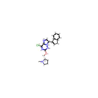 CN1CCC[C@H]1COc1nc(Cl)c2ncc(C3=CCc4ccccc43)n2n1